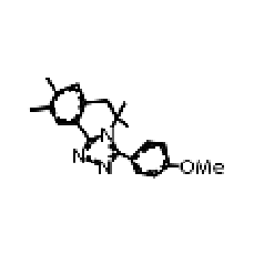 COc1ccc(-c2nnc3n2C(C)(C)Cc2cc(C)c(C)cc2-3)cc1